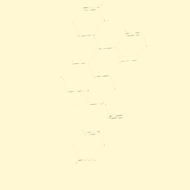 Cl.Cl.Cl.O=C(c1cccnc1)N1CCN2C(C(c3ccccc3)c3ccccc3)CNC[C@@H]2C1